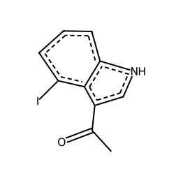 CC(=O)c1c[nH]c2cccc(I)c12